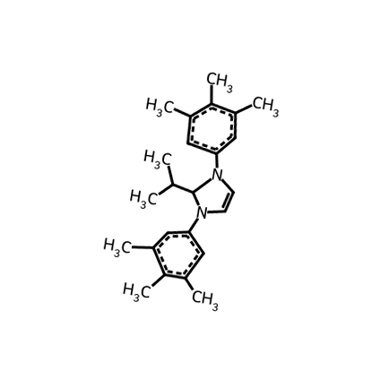 Cc1cc(N2C=CN(c3cc(C)c(C)c(C)c3)C2C(C)C)cc(C)c1C